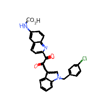 O=C(O)Nc1ccc2nc(C(=O)C(=O)c3cn(Cc4ccc(Cl)cc4)c4ccccc34)ccc2c1